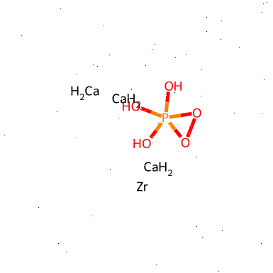 OP1(O)(O)OO1.[CaH2].[CaH2].[CaH2].[Zr]